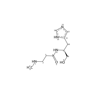 CNCCC(=O)N[C@H](CO)Cc1cnc[nH]1